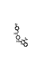 CN(C)c1nc(N[C@H]2CC[C@@H](NCc3ccc(Br)cc3)CC2)nc2ccccc12